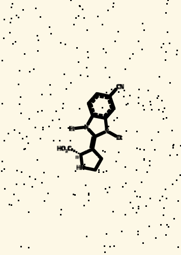 CCN1C(=C2CCN[C@@H]2C(=O)O)N(CC)c2cc(C#N)ccc21